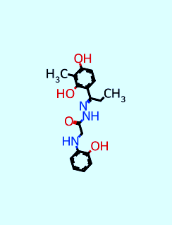 CC/C(=N\NC(=O)CNc1ccccc1O)c1ccc(O)c(C)c1O